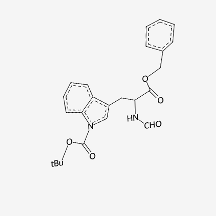 CC(C)(C)OC(=O)n1cc(CC(NC=O)C(=O)OCc2ccccc2)c2ccccc21